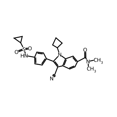 CN(C)C(=O)c1ccc2c(C#N)c(-c3ccc(NS(=O)(=O)C4CC4)cc3)n(C3CCC3)c2c1